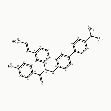 CN(C)c1ccc(-c2ccc(CN(C(=O)c3ccc(C#N)cc3)c3cccc(C=CC(=O)O)c3)cc2)cc1